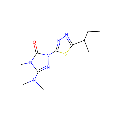 CCC(C)c1nnc(-n2nc(N(C)C)n(C)c2=O)s1